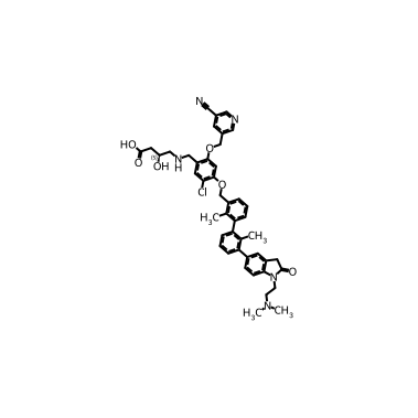 Cc1c(COc2cc(OCc3cncc(C#N)c3)c(CNC[C@@H](O)CC(=O)O)cc2Cl)cccc1-c1cccc(-c2ccc3c(c2)CC(=O)N3CCN(C)C)c1C